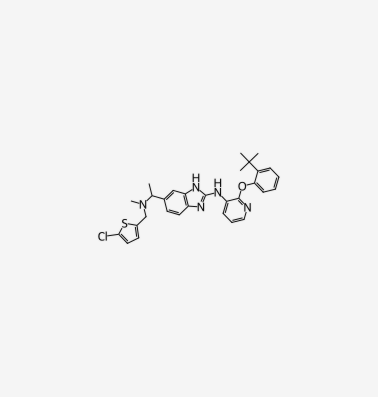 CC(c1ccc2nc(Nc3cccnc3Oc3ccccc3C(C)(C)C)[nH]c2c1)N(C)Cc1ccc(Cl)s1